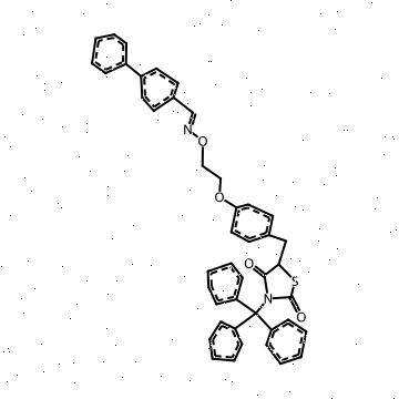 O=C1SC(Cc2ccc(OCCO/N=C/c3ccc(-c4ccccc4)cc3)cc2)C(=O)N1C(c1ccccc1)(c1ccccc1)c1ccccc1